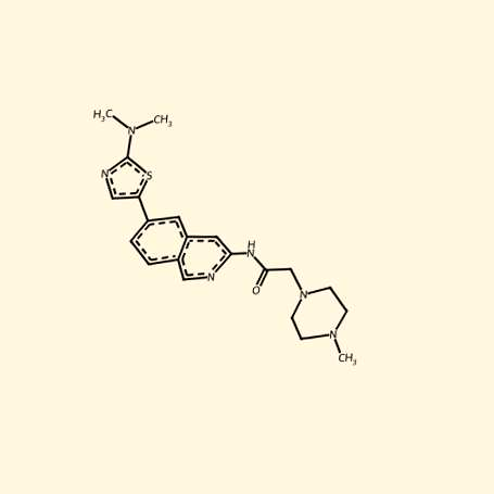 CN1CCN(CC(=O)Nc2cc3cc(-c4cnc(N(C)C)s4)ccc3cn2)CC1